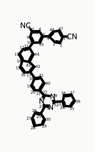 N#Cc1ccc(-c2cc(C#N)cc(-c3ccc4ccc(-c5ccc(-c6nc(-c7ccccc7)nc(-c7ccccc7)n6)cc5)cc4c3)c2)cc1